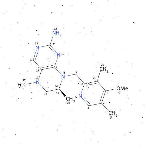 COc1c(C)cnc(CN2c3nc(N)ncc3N(C)C[C@@H]2C)c1C